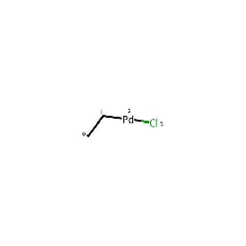 C[CH2][Pd][Cl]